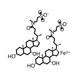 C[C@H](CCC(=O)N(C)CCS(=O)(=O)[O-])[C@H]1CCC2C3C(CC[C@@]21C)[C@@]1(C)CC[C@@H](O)CC1C[C@H]3O.C[C@H](CCC(=O)N(C)CCS(=O)(=O)[O-])[C@H]1CCC2C3C(CC[C@@]21C)[C@@]1(C)CC[C@@H](O)CC1C[C@H]3O.[Fe+2]